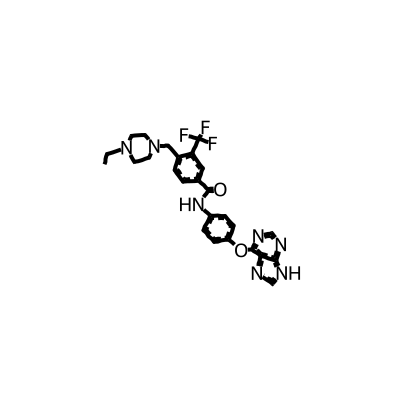 CCN1CCN(Cc2ccc(C(=O)Nc3ccc(Oc4ncnc5[nH]cnc45)cc3)cc2C(F)(F)F)CC1